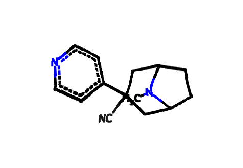 CN1C2CCC1CC(C#N)(c1ccncc1)C2